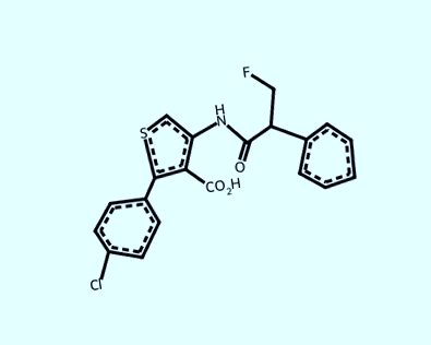 O=C(O)c1c(NC(=O)C(CF)c2ccccc2)csc1-c1ccc(Cl)cc1